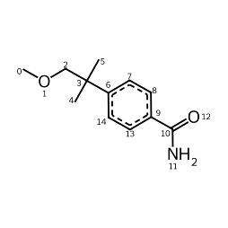 COCC(C)(C)c1ccc(C(N)=O)cc1